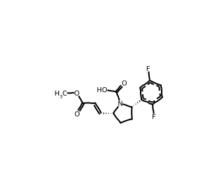 COC(=O)C=C[C@H]1CC[C@@H](c2cc(F)ccc2F)N1C(=O)O